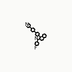 Fc1ccc(-c2nc3cc(-c4ccc(-c5ccncc5)cc4)ccc3c3c2ccc2ccccc23)cc1